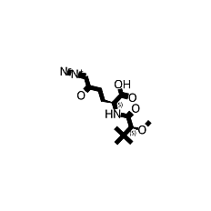 CO[C@H](C(=O)N[C@@H](CCC(=O)C=[N+]=[N-])C(=O)O)C(C)(C)C